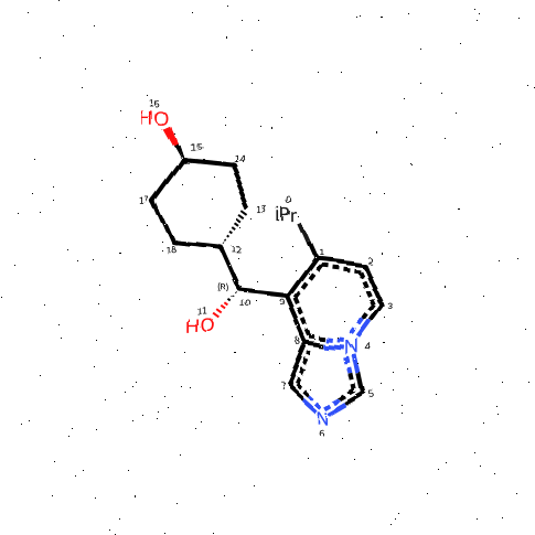 CC(C)c1ccn2cncc2c1[C@H](O)[C@H]1CC[C@H](O)CC1